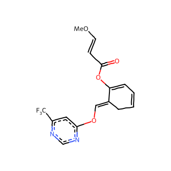 COC=CC(=O)OC1=CC=CCC1=COc1cc(C(F)(F)F)ncn1